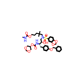 CNC(=O)OCCCC(C)(C)CN(C[C@@H](O)[C@H](Cc1ccc(OCc2ccccc2)cc1)NC(=O)OC1COCOC1)S(=O)(=O)c1ccc2c(c1)OCO2